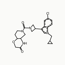 O=C1COC2CCN(C(=O)N3CC(c4cn(CC5CC5)c5ccc(Cl)cc45)C3)CC2N1